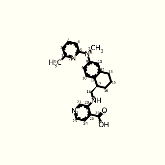 Cc1cccc(N(C)c2ccc3c(c2)CCC[C@H]3CNc2cnccc2C(=O)O)n1